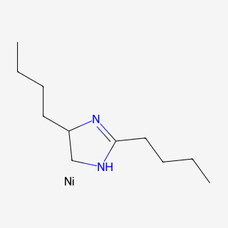 CCCCC1=NC(CCCC)CN1.[Ni]